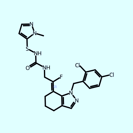 Cn1nccc1SNC(=O)NC/C(F)=C1\CCCc2cnn(Cc3ccc(Cl)cc3Cl)c21